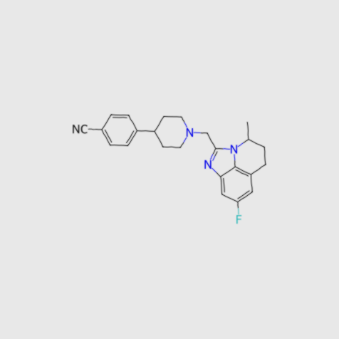 CC1CCc2cc(F)cc3nc(CN4CCC(c5ccc(C#N)cc5)CC4)n1c23